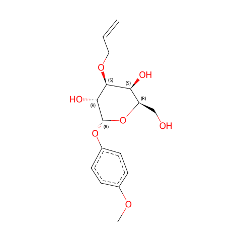 C=CCO[C@H]1[C@@H](O)[C@@H](CO)O[C@H](Oc2ccc(OC)cc2)[C@@H]1O